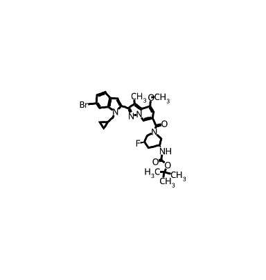 COc1cc(C(=O)N2C[C@H](F)C[C@@H](NC(=O)OC(C)(C)C)C2)cn2nc(-c3cc4ccc(Br)cc4n3CC3CC3)c(C)c12